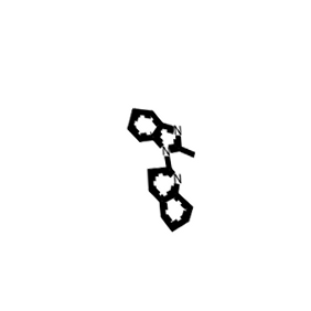 Cc1nc2ccccc2n1-c1ccc2ccccc2n1